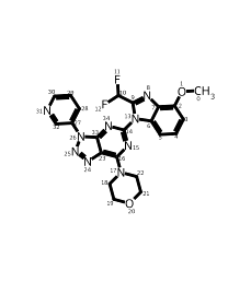 COc1cccc2c1nc(C(F)F)n2-c1nc(N2CCOCC2)c2nnn(-c3cccnc3)c2n1